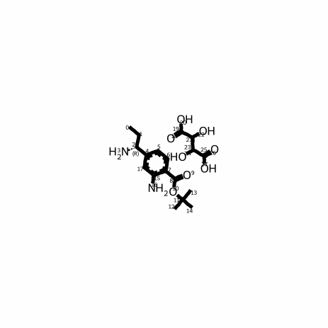 CC[C@@H](N)c1ccc(C(=O)OC(C)(C)C)c(N)c1.O=C(O)C(O)C(O)C(=O)O